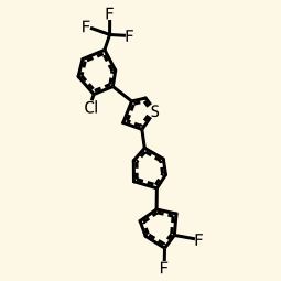 Fc1ccc(-c2ccc(-c3cc(-c4cc(C(F)(F)F)ccc4Cl)cs3)cc2)cc1F